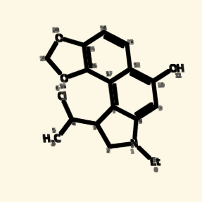 CCN1CC(C(C)Cl)c2c1cc(O)c1ccc3c(c21)OCO3